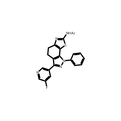 CC(=O)Nc1nc2c(s1)-c1c(c(-c3cncc(F)c3)nn1-c1ccccc1)CC2